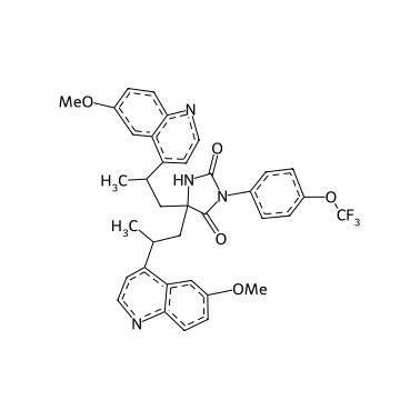 COc1ccc2nccc(C(C)CC3(CC(C)c4ccnc5ccc(OC)cc45)NC(=O)N(c4ccc(OC(F)(F)F)cc4)C3=O)c2c1